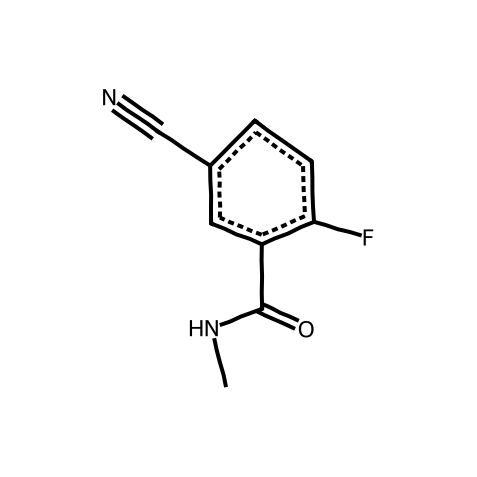 CNC(=O)c1cc(C#N)ccc1F